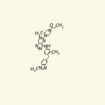 C=CC(=O)N1CCN(c2ncc3ncnc(Nc4ccc(Cc5ccc6c(c5)ncn6C)c(C)c4)c3n2)C(C)C1